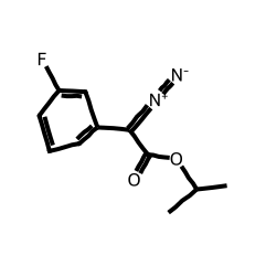 CC(C)OC(=O)C(=[N+]=[N-])c1cccc(F)c1